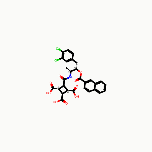 C[C@H](NC(=O)C1[C@H](C(=O)O)C(C(=O)O)[C@@H]1C(=O)O)[C@H](Cc1ccc(Cl)c(Cl)c1)OC(=O)c1ccc2ccccc2c1